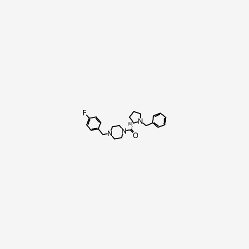 O=C([C@@H]1CCCN1Cc1ccccc1)N1CCN(Cc2ccc(F)cc2)CC1